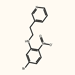 O=[N+]([O-])c1ccc(Br)cc1NCCc1cccnc1